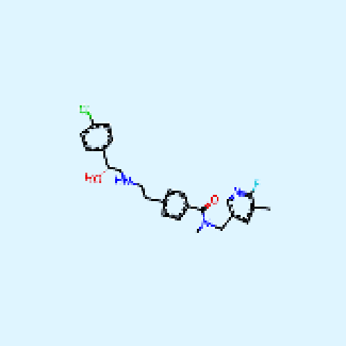 Cc1cc(CN(C)C(=O)c2ccc(CCNC[C@H](O)c3ccc(Cl)cc3)cc2)cnc1F